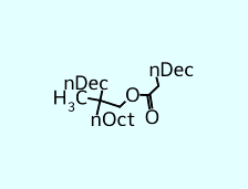 CCCCCCCCCCCC(=O)OCC(C)(CCCCCCCC)CCCCCCCCCC